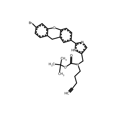 C#CCCCN(Cc1cnc(-c2ccc3c(c2)Cc2ccc(Br)cc2O3)[nH]1)C(=O)OC(C)(C)C